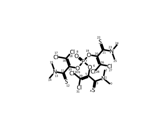 CN(C)C(=S)C(OP(=O)(OC(C(=S)N(C)C)=C(Cl)Cl)OC(C(=S)N(C)C)=C(Cl)Cl)=C(Cl)Cl